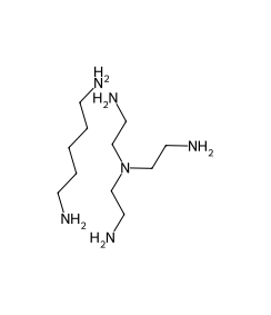 NCCCCCN.NCCN(CCN)CCN